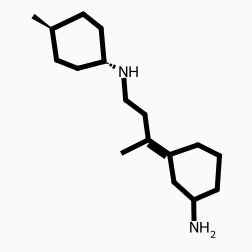 C/C(CCN[C@H]1CC[C@H](C)CC1)=C1/CCCC(N)C1